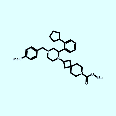 COc1ccc(CN2CCN(C3CC4(CCN(C(=O)OC(C)(C)C)CC4)C3)C(c3ccccc3C3CCCC3)C2)cc1